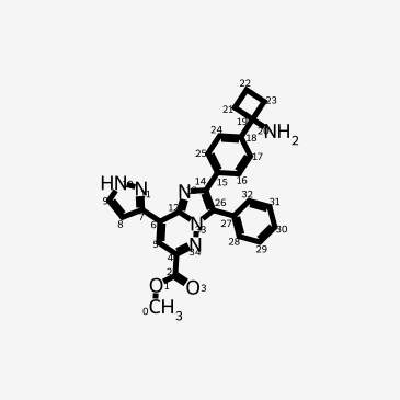 COC(=O)c1cc(-c2cc[nH]n2)c2nc(-c3ccc(C4(N)CCC4)cc3)c(-c3ccccc3)n2n1